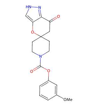 COc1cccc(OC(=O)N2CCC3(CC2)CC(=O)c2n[nH]cc2O3)c1